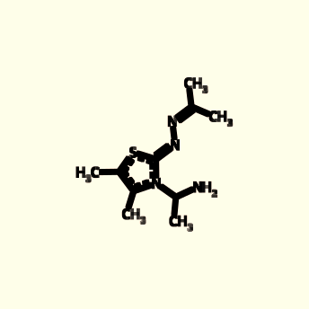 CC(C)=N/N=c1\sc(C)c(C)n1C(C)N